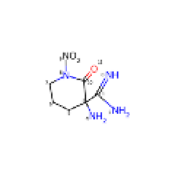 N=C(N)C1(N)CCCN([N+](=O)[O-])C1=O